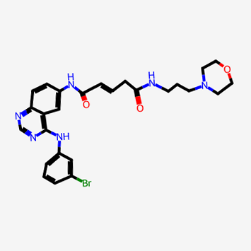 O=C(/C=C/CC(=O)NCCCN1CCOCC1)Nc1ccc2ncnc(Nc3cccc(Br)c3)c2c1